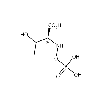 CC(O)[C@H](NOP(=O)(O)O)C(=O)O